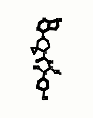 C[C@@H](NC(=O)[C@H]1CCN(c2ncnc3[nH]ccc23)CC12CC2)[C@@H](O)c1ccc(C#N)cc1